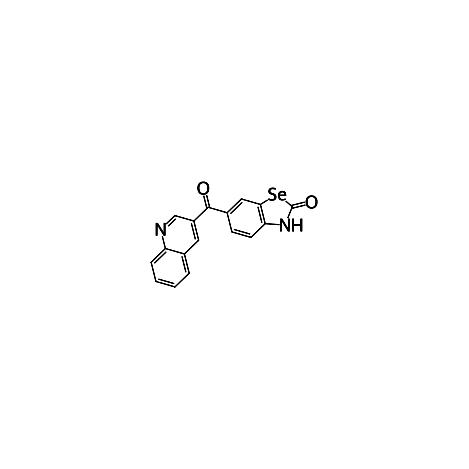 O=C(c1cnc2ccccc2c1)c1ccc2[nH]c(=O)[se]c2c1